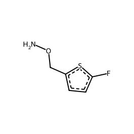 NOCc1ccc(F)s1